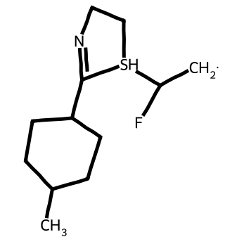 [CH2]C(F)[SH]1CCN=C1C1CCC(C)CC1